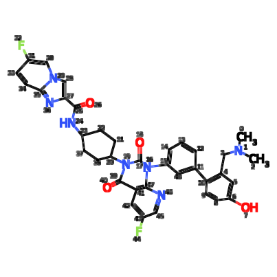 CN(C)Cc1cc(O)ccc1-c1cccc(-n2c(=O)n(C3CCC(NC(=O)c4cn5cc(F)ccc5n4)CC3)c(=O)c3cc(F)cnc32)c1